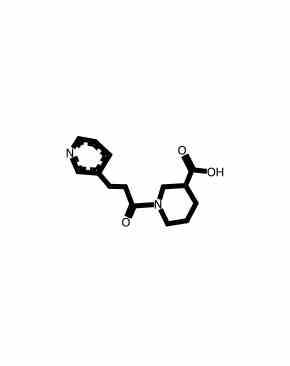 O=C(O)C1CCCN(C(=O)CCc2cccnc2)C1